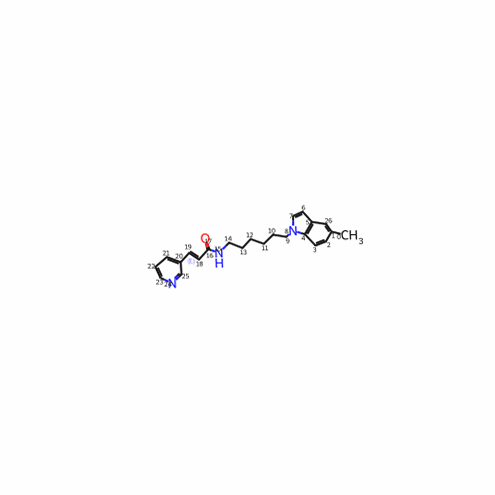 Cc1ccc2c(ccn2CCCCCCNC(=O)/C=C/c2cccnc2)c1